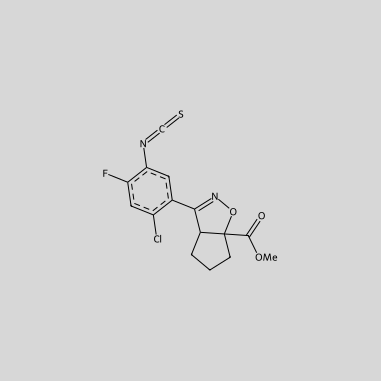 COC(=O)C12CCCC1C(c1cc(N=C=S)c(F)cc1Cl)=NO2